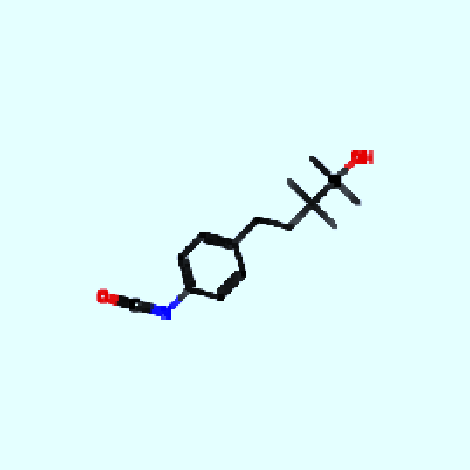 CC(C)(CCc1ccc(N=C=O)cc1)[Si](C)(C)O